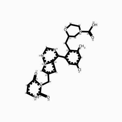 Cc1cc(Cl)cc(-c2ncnn3cc(Cn4c(=O)cc[nH]c4=O)cc23)c1CC1CN(C(=O)O)CCO1